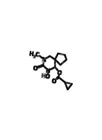 CN1CC2(CCCC2)C(OC(=O)C2CC2)N(O)C1=O